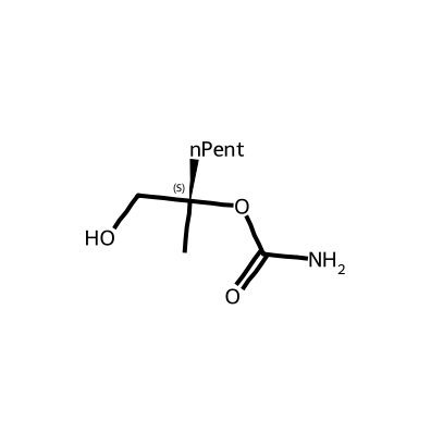 CCCCC[C@@](C)(CO)OC(N)=O